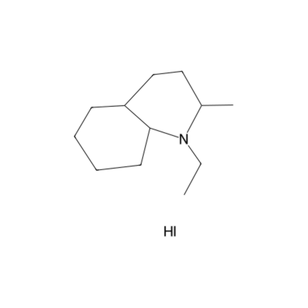 CCN1C(C)CCC2CCCCC21.I